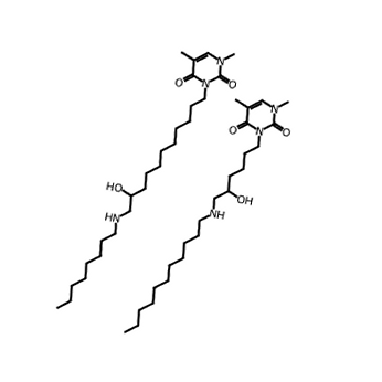 CCCCCCCCCCCNCC(O)CCCCn1c(=O)c(C)cn(C)c1=O.CCCCCCCCNCC(O)CCCCCCCCCn1c(=O)c(C)cn(C)c1=O